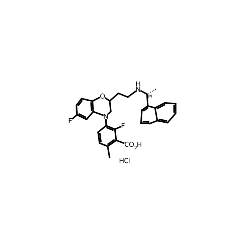 Cc1ccc(N2CC(CCN[C@H](C)c3cccc4ccccc34)Oc3ccc(F)cc32)c(F)c1C(=O)O.Cl